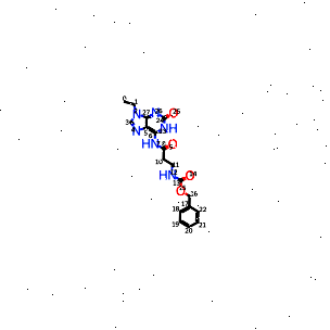 CCn1cnc2c(NC(=O)CCNC(=O)OCc3ccccc3)[nH]c(=O)nc21